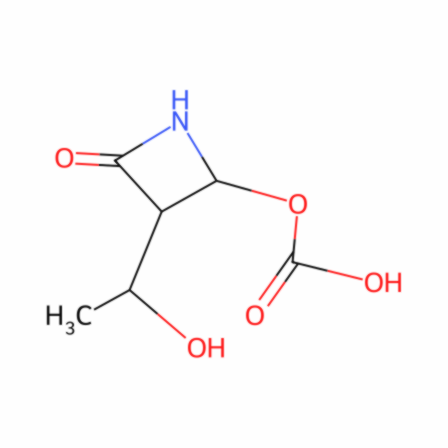 CC(O)C1C(=O)NC1OC(=O)O